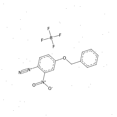 F[B-](F)(F)F.N#[N+]c1ccc(OCc2ccccc2)cc1[N+](=O)[O-]